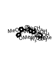 COc1cccc(-c2cc(C(=O)Nc3cc4cc(OC(C)C)c(O[C@@H]5OC(C)(C)C(OC)C(O)C5O)c(C)c4oc3=O)ccc2OC)c1